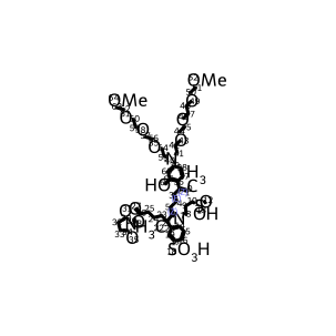 C/C=C(/C=C/C=C1\N(CCCS(=O)O)c2ccc(S(=O)(=O)O)cc2C1(C)CCCC(=O)ON1C(=O)CCC1=O)c1ccc(N(CCOCCOCCOCCOC)CCOCCOCCOCCOC)cc1O